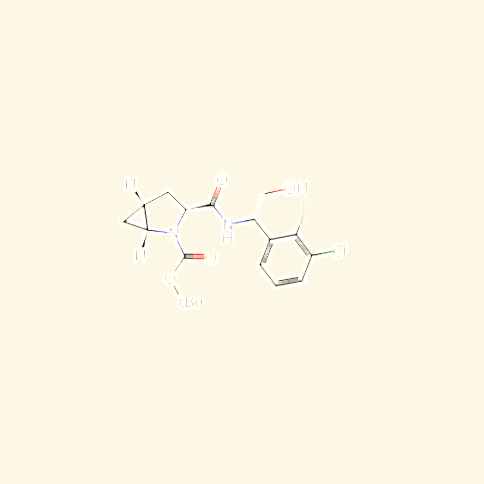 CC(C)(C)OC(=O)N1[C@@H]2C[C@@H]2C[C@H]1C(=O)N[C@H](CO)c1cccc(Cl)c1F